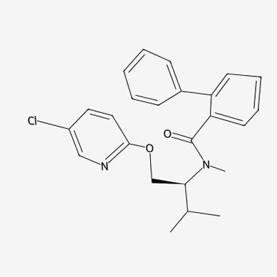 CC(C)[C@@H](COc1ccc(Cl)cn1)N(C)C(=O)c1ccccc1-c1ccccc1